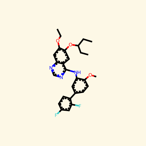 CCOc1cc2ncnc(Nc3cc(-c4ccc(F)cc4F)ccc3OC)c2cc1OC(CC)CC